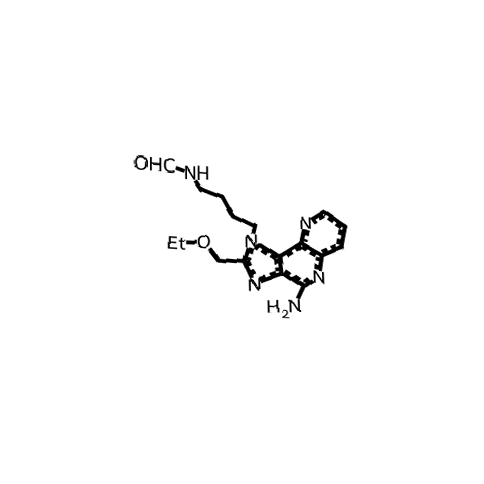 CCOCc1nc2c(N)nc3cccnc3c2n1CCCCNC=O